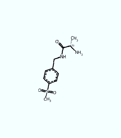 C[C@H](N)C(=O)NCc1ccc(S(C)(=O)=O)cc1